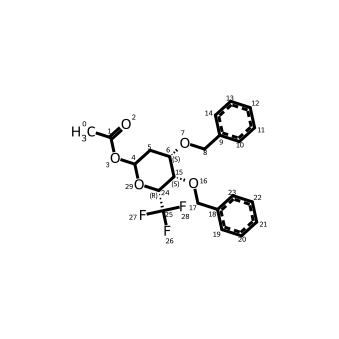 CC(=O)OC1C[C@H](OCc2ccccc2)[C@H](OCc2ccccc2)[C@H](C(F)(F)F)O1